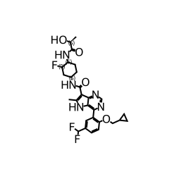 Cc1[nH]c2c(-c3cc(C(F)F)ccc3OCC3CC3)ncnc2c1C(=O)N[C@H]1CC[C@H](NC(=O)[C@H](C)O)[C@H](F)C1